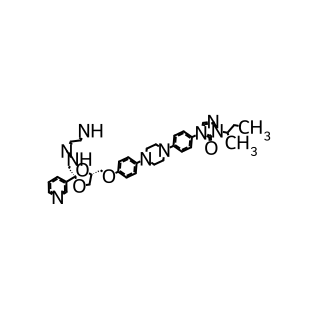 CCC(C)n1ncn(-c2ccc(N3CCN(c4ccc(OC[C@@H]5CO[C@@](CN/N=C\C=N)(c6cccnc6)O5)cc4)CC3)cc2)c1=O